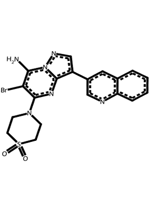 Nc1c(Br)c(N2CCS(=O)(=O)CC2)nc2c(-c3cnc4ccccc4c3)cnn12